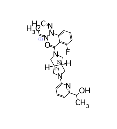 C=NN(/N=C\C)c1cccc(F)c1C(=O)N1C[C@@H]2CN(c3cccc(C(C)O)n3)C[C@@H]2C1